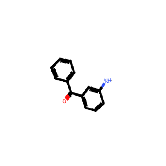 [NH]c1cccc(C(=O)c2ccccc2)c1